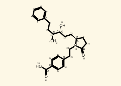 C[C@@H](CCc1ccccc1)[C@H](O)CC[C@H]1CCC(=O)N1CCc1ccc(C(=O)O)cc1